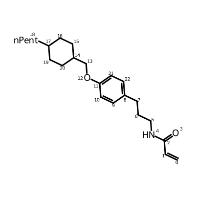 C=CC(=O)NCCCc1ccc(OCC2CCC(CCCCC)CC2)cc1